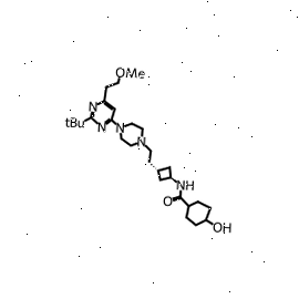 COCCc1cc(N2CCN(CC[C@H]3C[C@H](NC(=O)C4CCC(O)CC4)C3)CC2)nc(C(C)(C)C)n1